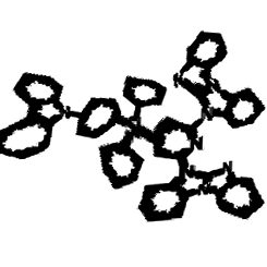 c1ccc([Si](c2ccccc2)(c2ccc(-n3c4ccccc4c4ccccc43)cc2)c2cc(-n3c4ccccc4n4c5ccccc5nc34)nc(-n3c4ccccc4n4c5ccccc5nc34)c2)cc1